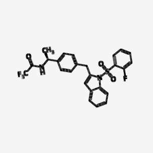 C[C@H](NC(=O)C(F)(F)F)c1ccc(Cc2cc3ccccc3n2S(=O)(=O)c2ccccc2F)cc1